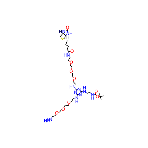 CC(C)(C)OC(=O)NCCNc1nc(NCCOCCOCCOCCN=[N+]=[N-])nc(NCCOCCOCCOCCNC(=O)CCCC[C@@H]2SC[C@@H]3NC(=O)N[C@@H]32)n1